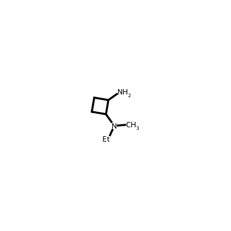 CCN(C)C1CCC1N